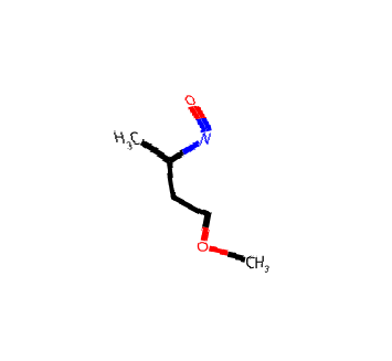 COCCC(C)N=O